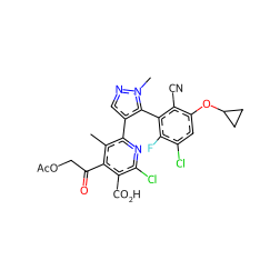 CC(=O)OCC(=O)c1c(C)c(-c2cnn(C)c2-c2c(F)c(Cl)cc(OC3CC3)c2C#N)nc(Cl)c1C(=O)O